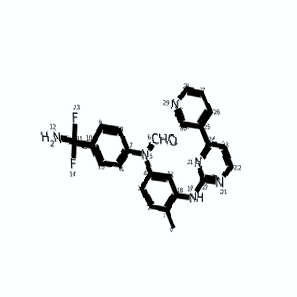 Cc1ccc(N(C=O)c2ccc(C(N)(F)F)cc2)cc1Nc1nccc(-c2cccnc2)n1